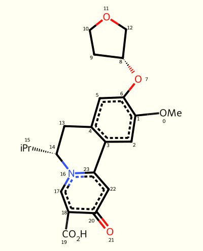 COc1cc2c(cc1O[C@@H]1CCOC1)C[C@@H](C(C)C)n1cc(C(=O)O)c(=O)cc1-2